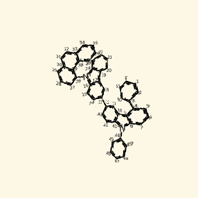 c1ccc(-c2cccc3c2c2cc(-c4ccc5c(c4)c4ccccc4n5-c4cccc5ccc6ccccc6c45)ccc2n3-c2ccccc2)cc1